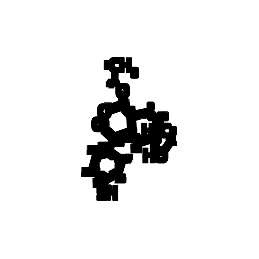 CCO.CCOC(=O)c1ccccc1C(=O)c1ccc(S)cc1